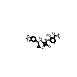 CN(C)C(=O)c1cccc(Nc2c(N[C@@H](c3ccc4c(c3)OCO4)C3CC3)c(=O)c2=O)c1O